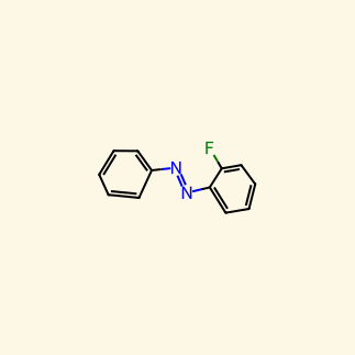 Fc1ccccc1N=Nc1ccccc1